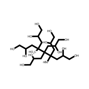 CCCCC(CC(O)CO)(CC(O)CO)C(CC(O)CO)(CC(O)CO)C(CC(O)CO)(CC(O)CO)C(=O)O